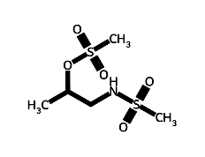 CC(CNS(C)(=O)=O)OS(C)(=O)=O